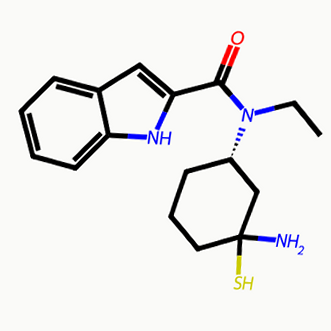 CCN(C(=O)c1cc2ccccc2[nH]1)[C@H]1CCCC(N)(S)C1